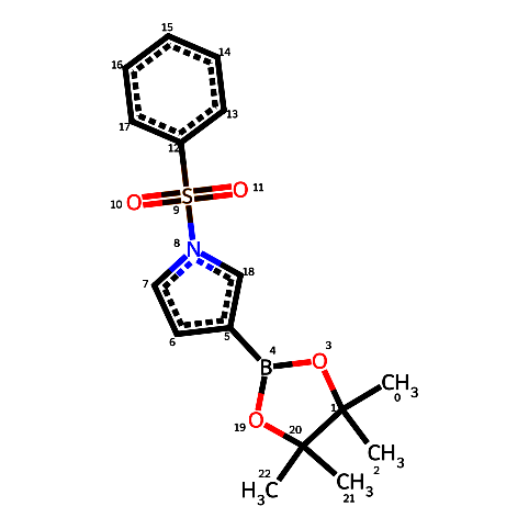 CC1(C)OB(c2ccn(S(=O)(=O)c3ccccc3)c2)OC1(C)C